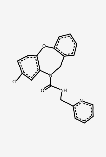 O=C(NCc1ccccn1)N1Cc2ccccc2Oc2ccc(Cl)cc21